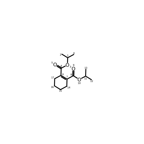 CC(C)OC(=O)C1=C(C(=O)OC(C)C)CCCC1